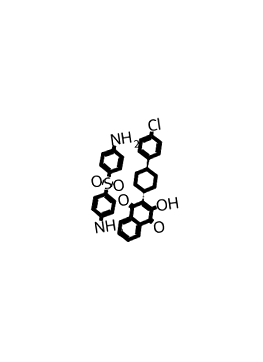 Nc1ccc(S(=O)(=O)c2ccc(N)cc2)cc1.O=C1C(O)=C([C@H]2CC[C@H](c3ccc(Cl)cc3)CC2)C(=O)c2ccccc21